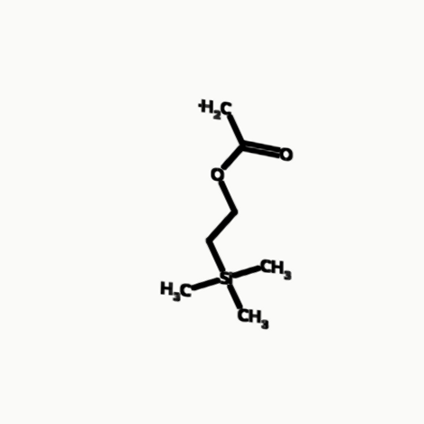 [CH2]C(=O)OCC[Si](C)(C)C